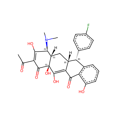 CC(=O)C1=C(O)[C@@H](N(C)C)[C@@H]2C[C@H]3C(=C(O)[C@]2(O)C1=O)C(=O)c1c(O)cccc1[C@H]3c1ccc(F)cc1